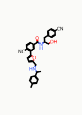 Cc1ccc(C(C)NCc2ccc(-c3cc(C(=O)NC(CO)Cc4ccc(C#N)cc4)ccc3C#N)o2)cc1